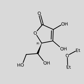 CCOCC.O=C1O[C@H](C(O)CO)C(O)=C1O